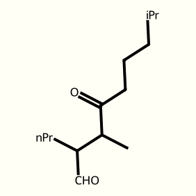 CCCC(C=O)C(C)C(=O)CCCC(C)C